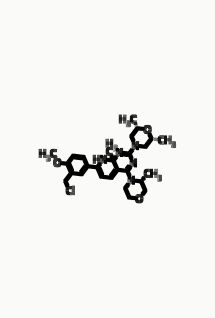 COc1ccc(C2=CC=C3C(N4CCOC[C@@H]4C)=NC(N4C[C@@H](C)O[C@@H](C)C4)=NC3(C)N2)cc1CCl